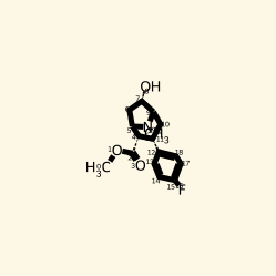 COC(=O)[C@@H]1C2C[C@H](O)C(C[C@@H]1c1ccc(F)cc1)N2C